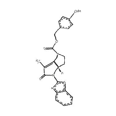 COc1ccc(COC(=O)N2CC[C@H]3C2=C(C)C(=O)N3c2nc3ccccc3s2)cc1